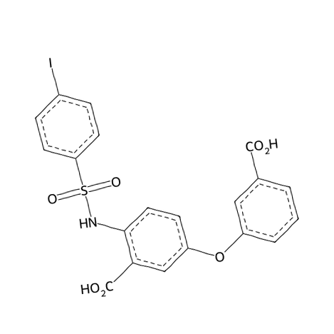 O=C(O)c1cccc(Oc2ccc(NS(=O)(=O)c3ccc(I)cc3)c(C(=O)O)c2)c1